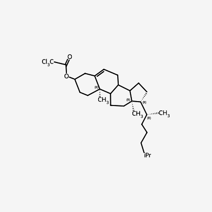 CC(C)CCC[C@@H](C)[C@H]1CCC2C3CC=C4CC(OC(=O)C(Cl)(Cl)Cl)CC[C@]4(C)C3CC[C@@]21C